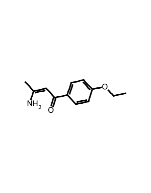 CCOc1ccc(C(=O)C=C(C)N)cc1